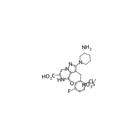 CS(=O)(=O)O.N[C@@H]1CCCN(c2nn3cc(C(=O)O)[nH]c(=O)c3c2Cc2cc(F)ccc2Cl)C1